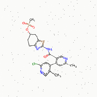 Cc1cc(-c2cc(Cl)ncc2C)c(C(=O)Nc2nc3c(s2)CC(OS(C)(=O)=O)CC3)cn1